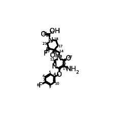 Nc1c(Oc2ccc(F)cc2)ncn(C[C@@]2(O)CCN(C(=O)O)C[C@@H]2F)c1=O